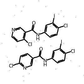 O=C(Nc1ccc(Cl)c(I)c1)c1ccc(Cl)nc1.O=C(Nc1ccc(Cl)c(I)c1)c1cnccc1Cl